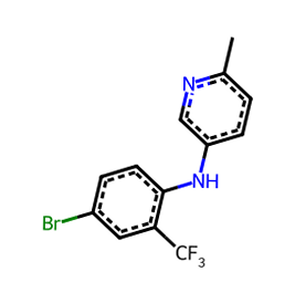 Cc1ccc(Nc2ccc(Br)cc2C(F)(F)F)cn1